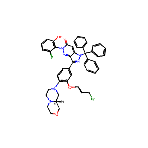 O=c1cc2c(nn1-c1c(O)cccc1F)c(-c1ccc(N3CCN4CCOC[C@H]4C3)c(OCCCBr)c1)nn2C(c1ccccc1)(c1ccccc1)c1ccccc1